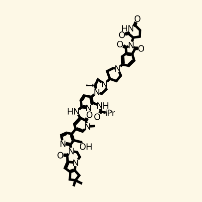 CC(C)C(=O)Nc1nc(Nc2cc(-c3ccnc(N4CCn5c(cc6c5CC(C)(C)C6)C4=O)c3CO)cn(C)c2=O)ccc1N1CCN(C2CCN(c3ccc4c(c3)C(=O)N(C3CCC(=O)NC3=O)C4=O)CC2)C[C@@H]1C